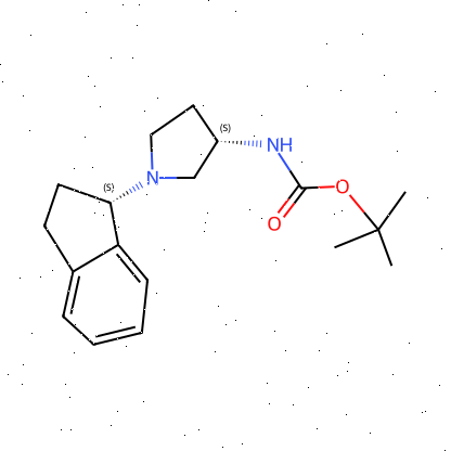 CC(C)(C)OC(=O)N[C@H]1CCN([C@H]2CCc3ccccc32)C1